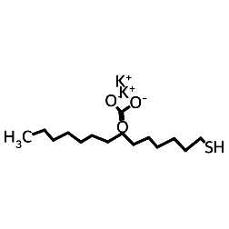 CCCCCCCCCCCCCCS.O=C([O-])[O-].[K+].[K+]